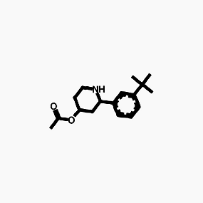 CC(=O)OC1CCNC(c2cccc(C(C)(C)C)c2)C1